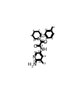 Cc1cccc([C@H]2CCCCN2C(=O)C(=O)Nc2cnc(N)c(C)c2)c1